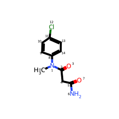 CN(C(=O)CC(N)=O)c1ccc(Cl)cc1